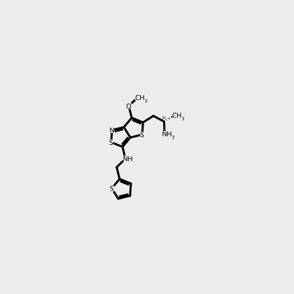 COc1c(C[C@H](C)N)sc2c(NCc3cccs3)snc12